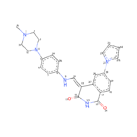 CN1CCN(c2ccc(NC=C3C(=O)NC(=O)c4ccc(-n5cccc5)cc43)cc2)CC1